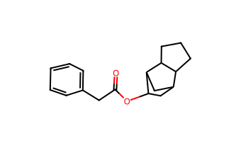 O=C(Cc1ccccc1)OC1CC2CC1C1CCCC21